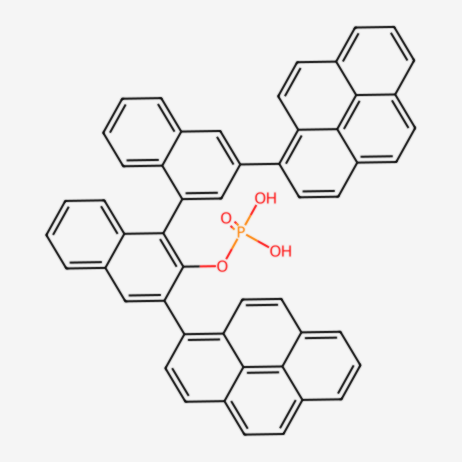 O=P(O)(O)Oc1c(-c2ccc3ccc4cccc5ccc2c3c45)cc2ccccc2c1-c1cc(-c2ccc3ccc4cccc5ccc2c3c45)cc2ccccc12